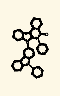 O=c1c2ccccc2c2c3ccccc3n(-c3ccc4c(c3)c3ccccc3n4-c3ccccc3)c2n1-c1ccccc1